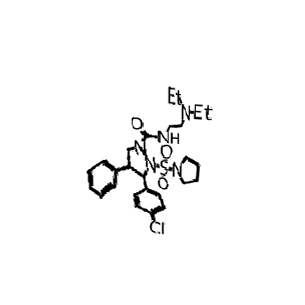 CCN(CC)CCNC(=O)N1CC(c2ccccc2)C(c2ccc(Cl)cc2)N1S(=O)(=O)N1CCCC1